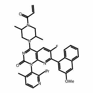 C=CC(=O)N1CC(C)N(c2nc(=O)n(-c3c(C)ccnc3C(C)C)c3nc(-c4cc(OC)cc5ccccc45)c(F)cc23)CC1C